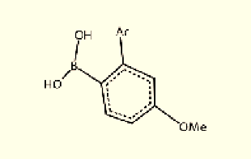 COc1ccc(B(O)O)c(C(C)=O)c1